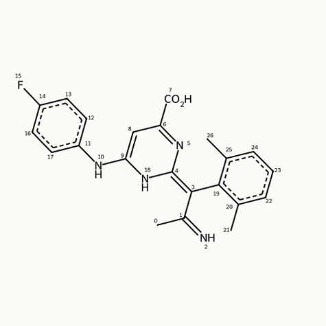 CC(=N)/C(=C1/N=C(C(=O)O)C=C(Nc2ccc(F)cc2)N1)c1c(C)cccc1C